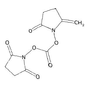 C=C1CCC(=O)N1OC(=O)ON1C(=O)CCC1=O